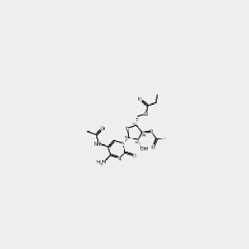 CCC(=O)OC[C@H]1O[C@@H](n2cc(NC(C)=O)c(N)nc2=O)[C@@H](O)[C@@H]1OC(C)=O